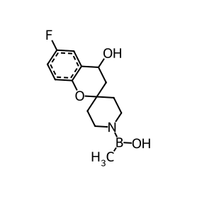 CB(O)N1CCC2(CC1)CC(O)c1cc(F)ccc1O2